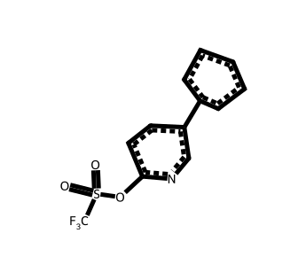 O=S(=O)(Oc1ccc(-c2ccccc2)cn1)C(F)(F)F